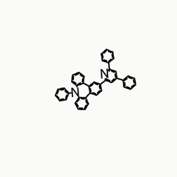 c1ccc(-c2cc(-c3ccccc3)nc(-c3ccc4c(c3)-c3ccccc3N(c3ccccc3)c3ccccc3-4)c2)cc1